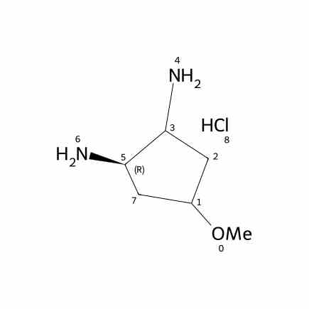 COC1CC(N)[C@H](N)C1.Cl